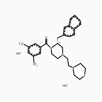 Cl.Cl.O=C(c1cc(C(F)(F)F)cc(C(F)(F)F)c1)N1CCN(CCN2CCSCC2)C[C@H]1Cc1ccc2ccccc2c1